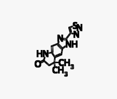 CC1(C)CC(=O)Nc2cc3nc(-c4csnn4)[nH]c3cc21